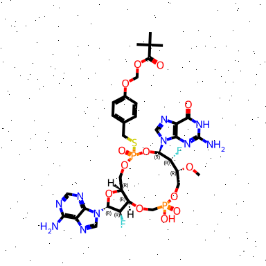 CO[C@@H]1COP(=O)(O)CO[C@H]2[C@@H](F)[C@H](n3cnc4c(N)ncnc43)O[C@@H]2COP(=O)(SCc2ccc(OCOC(=O)C(C)(C)C)cc2)O[C@@H](n2cnc3c(=O)[nH]c(N)nc32)[C@@H]1F